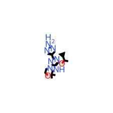 CC(Oc1nc(-c2cnc(N)nc2)nc2c1NC1N2CCOC1(C)C)C1CC1